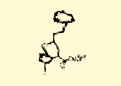 COC(=O)C1CC(CCc2ccccc2)Oc2ccc(F)cc21